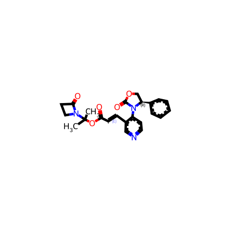 CC(C)(OC(=O)/[C]=C/c1cnccc1N1C(=O)OC[C@H]1c1ccccc1)N1CCC1=O